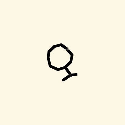 CN(C)C1CCCCCCCCC1